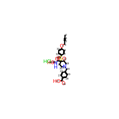 CC#CCOc1ccc(S(=O)(=O)C2(C(=O)NO)CCN(Cc3ccc(C(=O)O)cc3)CC2)cc1.Cl